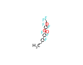 CCCc1ccc(-c2cc(F)c(C(=O)Oc3cc(F)c(O/C=C/C(F)F)c(F)c3)c(F)c2)c(F)c1